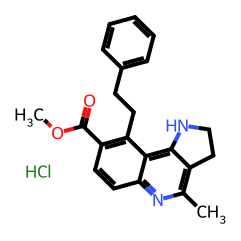 COC(=O)c1ccc2nc(C)c3c(c2c1CCc1ccccc1)NCC3.Cl